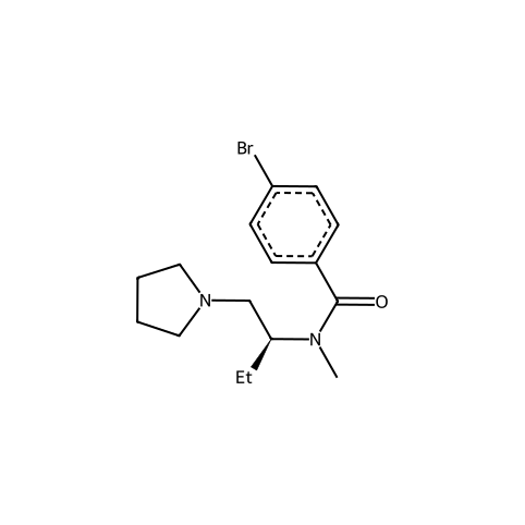 CC[C@@H](CN1CCCC1)N(C)C(=O)c1ccc(Br)cc1